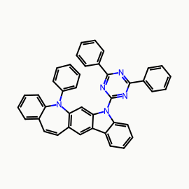 C1=Cc2cc3c4ccccc4n(-c4nc(-c5ccccc5)nc(-c5ccccc5)n4)c3cc2N(c2ccccc2)c2ccccc21